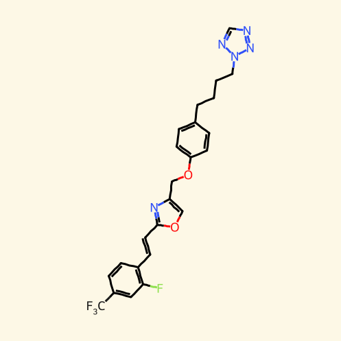 Fc1cc(C(F)(F)F)ccc1C=Cc1nc(COc2ccc(CCCCn3ncnn3)cc2)co1